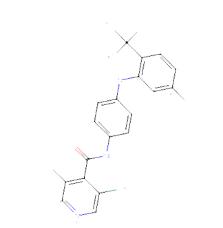 O=C(Nc1ccc(Nc2cc(F)ccc2C(F)(F)F)cc1)c1c(F)cncc1F